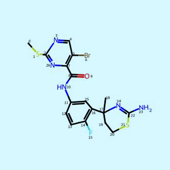 CSc1ncc(Br)c(C(=O)Nc2ccc(F)c(C3(C)CCSC(N)=N3)c2)n1